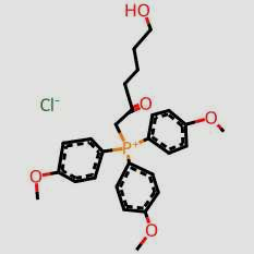 COc1ccc([P+](CC(=O)CCCCO)(c2ccc(OC)cc2)c2ccc(OC)cc2)cc1.[Cl-]